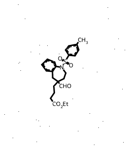 CCOC(=O)CCCC1(C=O)CCN(S(=O)(=O)c2ccc(C)cc2)c2ccccc2C1